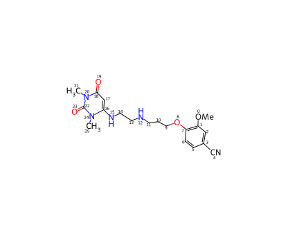 COc1cc(C#N)ccc1OCCCNCCNc1cc(=O)n(C)c(=O)n1C